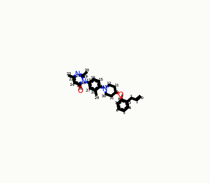 C=CCc1ccccc1OC1CCN(c2ccc(-n3c(C)nc(C)cc3=O)cc2C)CC1